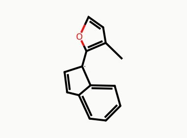 Cc1ccoc1[C]1C=Cc2ccccc21